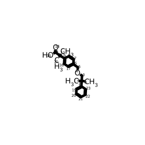 CC(C)(COCc1ccc(C(C)(C)C(=O)O)cc1)c1ccccc1